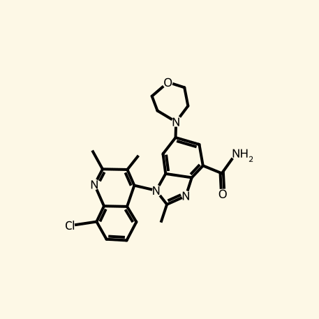 Cc1nc2c(Cl)cccc2c(-n2c(C)nc3c(C(N)=O)cc(N4CCOCC4)cc32)c1C